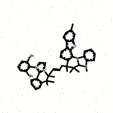 Cc1ccc2c(c1)oc1c3c(ccc12)C(C)(C/C=C/C1(C)[n+]2ccn(-c4c(C(C)C)cccc4C(C)C)c2-c2ccccc2C1(C)C)C(C)(C)C1N(C)c2ccccc2N31